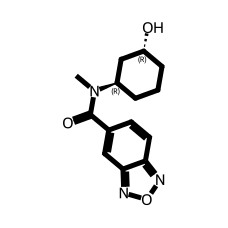 CN(C(=O)c1ccc2nonc2c1)[C@@H]1CCC[C@@H](O)C1